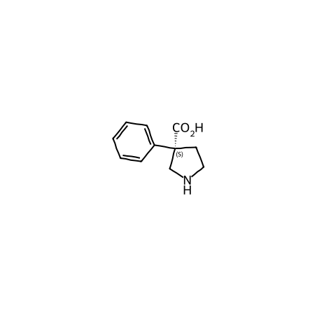 O=C(O)[C@]1(c2ccccc2)CCNC1